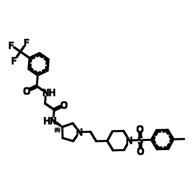 Cc1ccc(S(=O)(=O)N2CCC(CCN3CC[C@@H](NC(=O)CNC(=O)c4cccc(C(F)(F)F)c4)C3)CC2)cc1